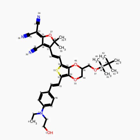 CCN(CCO)c1ccc(C=Cc2sc(C=CC3=C(C#N)C(=C(C#N)C#N)OC3(C)C)c3c2OCC(CO[Si](C)(C)C(C)(C)C)O3)cc1